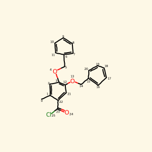 Cc1cc(OCc2ccccc2)c(OCc2ccccc2)cc1C(=O)Cl